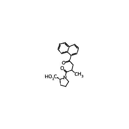 CC(CC(=O)c1cccc2ccccc12)C(=O)N1CCC[C@H]1C(=O)O